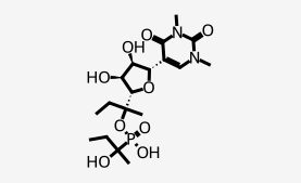 CCC(C)(OP(=O)(O)C(C)(O)CC)[C@H]1O[C@@H](c2cn(C)c(=O)n(C)c2=O)[C@H](O)[C@@H]1O